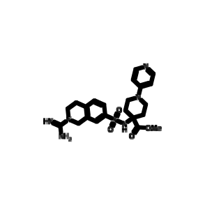 COC(=O)C1(NS(=O)(=O)c2ccc3c(c2)CN(C(=N)N)CC3)CCN(c2ccncc2)CC1